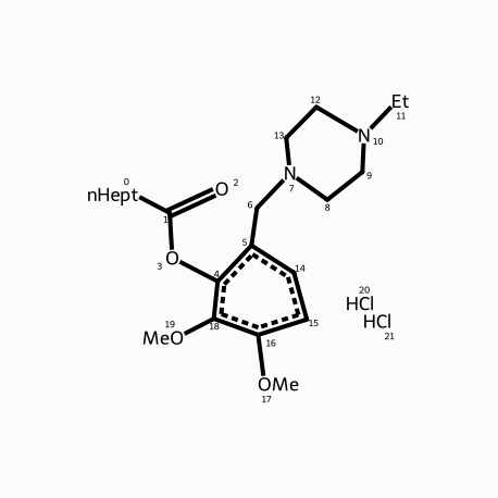 CCCCCCCC(=O)Oc1c(CN2CCN(CC)CC2)ccc(OC)c1OC.Cl.Cl